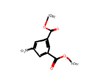 CCCCCCCCCCOC(=O)c1cc(C(=O)OCCCCCCCCCC)cc([N+](=O)[O-])c1